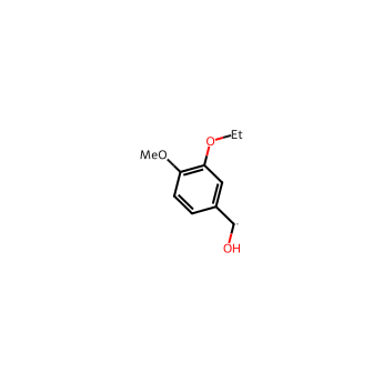 CCOc1cc([CH]O)ccc1OC